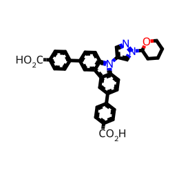 O=C(O)c1ccc(-c2ccc3c(c2)c2cc(-c4ccc(C(=O)O)cc4)ccc2n3-c2cnn(C3CCCCO3)c2)cc1